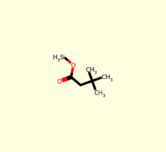 CC(C)(C)CC(=O)O[SiH3]